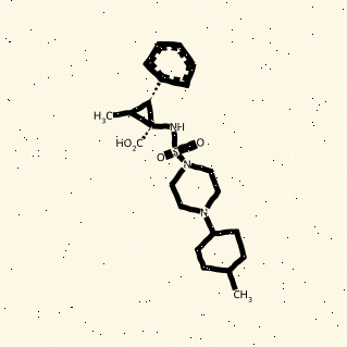 CC1CCC(N2CCN(S(=O)(=O)N[C@@]3(C(=O)O)C(C)[C@@H]3c3ccccc3)CC2)CC1